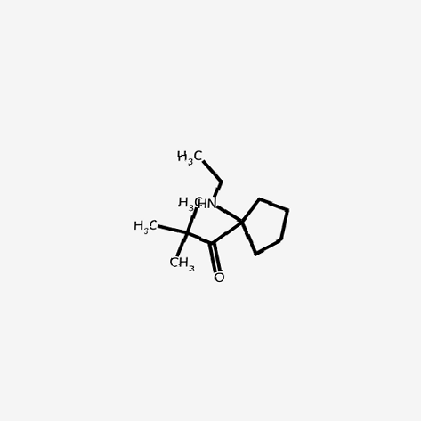 CCNC1(C(=O)C(C)(C)C)CCCC1